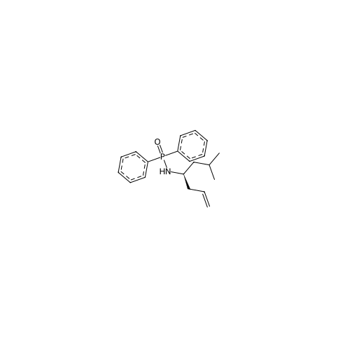 C=CC[C@H](CC(C)C)NP(=O)(c1ccccc1)c1ccccc1